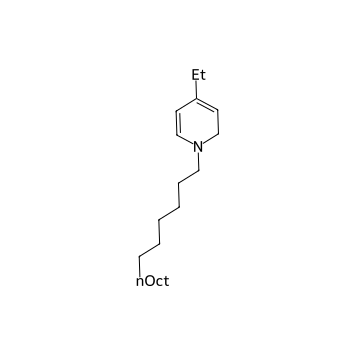 CCCCCCCCCCCCCCN1C=CC(CC)=CC1